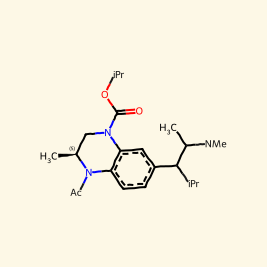 CNC(C)C(c1ccc2c(c1)N(C(=O)OC(C)C)C[C@H](C)N2C(C)=O)C(C)C